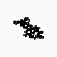 CCOC(=O)N1c2cc3c(cc2C(N(Cc2cc(C(F)(F)F)cc(C(F)(F)F)c2)C(=O)OC)CC1C)CCN3C(=O)OC(C)(C)C